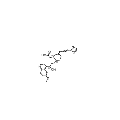 COc1ccc2nccc([C@H](O)CC[C@@H]3CCN(CC#Cc4ncco4)C[C@@H]3CC(=O)O)c2c1